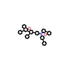 c1ccc(-c2ccc(N(c3ccc(-c4cc(-c5ccccc5)c5c(c4)oc4c6ccccc6c(-c6ccccc6)cc45)cc3)c3cccc4c3oc3ccccc34)cc2)cc1